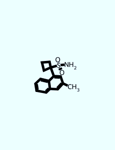 Cc1cc(C2(S(N)(=O)=O)CCC2)c2ccccc2c1